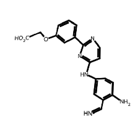 N=Cc1cc(Nc2ccnc(-c3cccc(OCC(=O)O)c3)n2)ccc1N